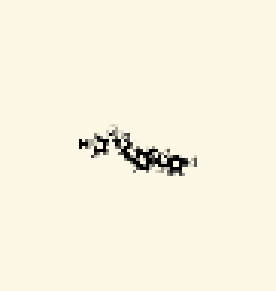 CN(C1=NC(=O)C(=Cc2ccc3c(cnn3Cc3ccc(Cl)cc3C(F)(F)F)c2)S1)C1CCNC1